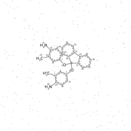 Cc1cc(OC2(Oc3ccc(N)c(C)c3)c3ccccc3-c3ccccc32)ccc1N